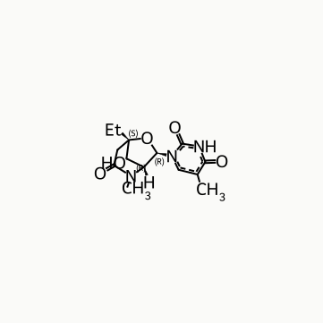 CC[C@]12CC(=O)N(C)[C@H](C1O)[C@H](n1cc(C)c(=O)[nH]c1=O)O2